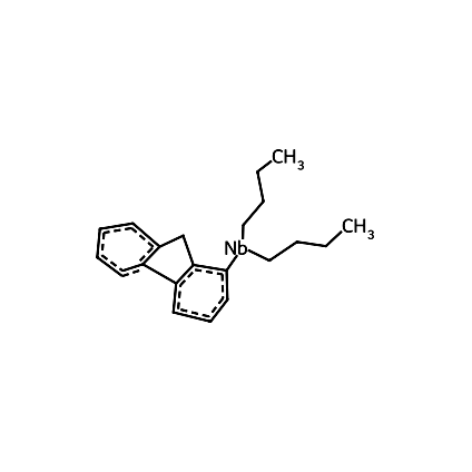 CCC[CH2][Nb]([CH2]CCC)[c]1cccc2c1Cc1ccccc1-2